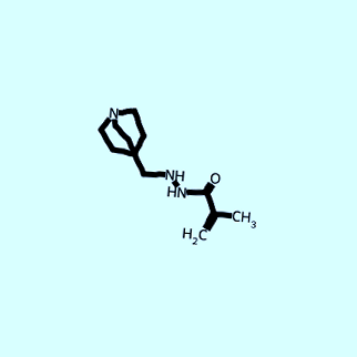 C=C(C)C(=O)NNCC12CCN(CC1)CC2